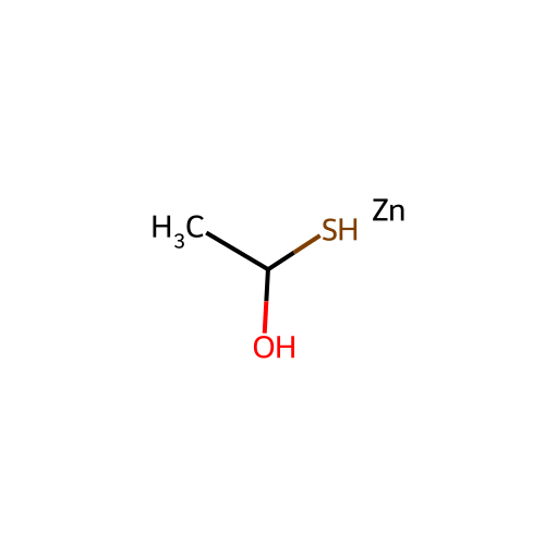 CC(O)S.[Zn]